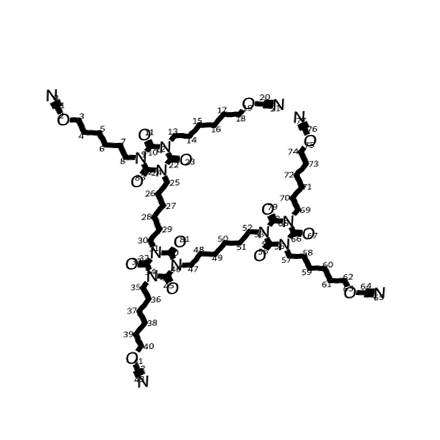 N#COCCCCCCn1c(=O)n(CCCCCCOC#N)c(=O)n(CCCCCCn2c(=O)n(CCCCCCOC#N)c(=O)n(CCCCCCn3c(=O)n(CCCCCCOC#N)c(=O)n(CCCCCCOC#N)c3=O)c2=O)c1=O